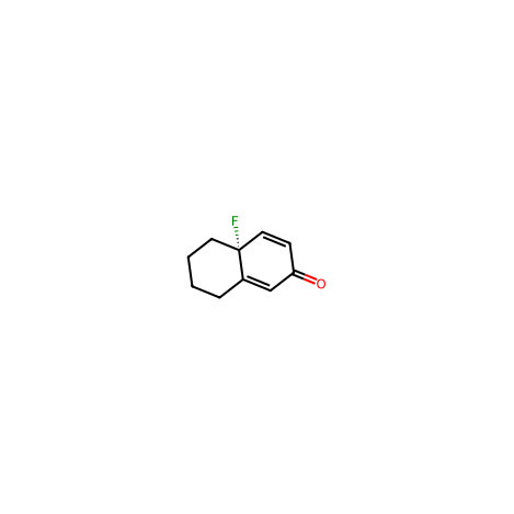 O=C1C=C[C@]2(F)CCCCC2=C1